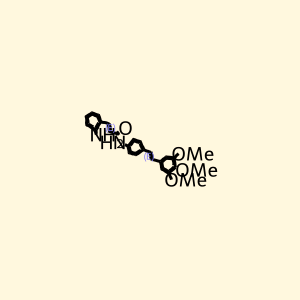 COc1cc(/C=C/c2ccc(NC(=O)/C=C/c3ccccc3N)cc2)cc(OC)c1OC